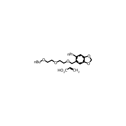 C=CC(=O)O.CCCCOCCOCCOCc1cc2c(cc1CCC)OCO2